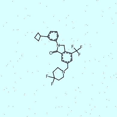 O=C1c2cc(CN3CCC(F)(F)CC3)cc(C(F)(F)F)c2CN1c1cccc(C2CCC2)c1